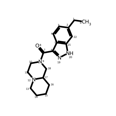 CCc1ccc2c(C(=O)N3CCN4CCCCC4C3)n[nH]c2c1